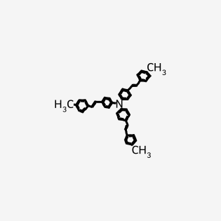 Cc1ccc(/C=C/c2ccc(N(c3ccc(/C=C/c4ccc(C)cc4)cc3)c3ccc(/C=C/c4ccc(C)cc4)cc3)cc2)cc1